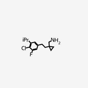 CC(C)c1cc(CCC2(CN)CC2)cc(F)c1Cl